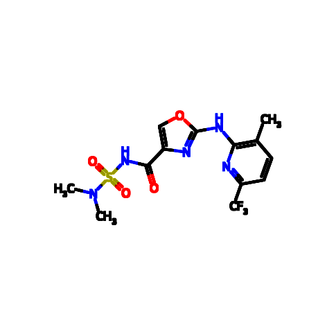 Cc1ccc(C(F)(F)F)nc1Nc1nc(C(=O)NS(=O)(=O)N(C)C)co1